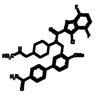 COc1ccc(-c2ccc(C(N)=O)cc2)cc1CN(C(=O)c1sc2c(F)ccc(F)c2c1Cl)C1CCC(CNC(=O)O)CC1